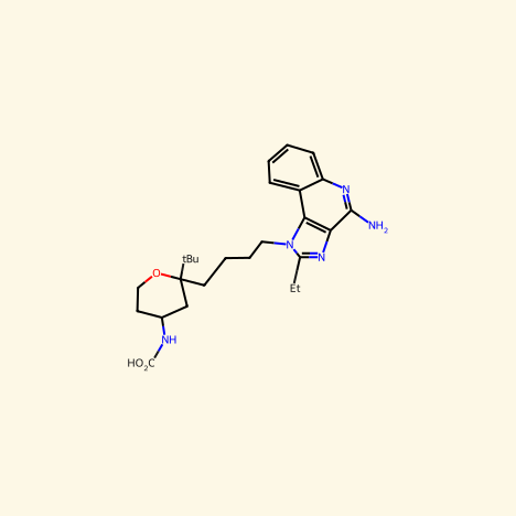 CCc1nc2c(N)nc3ccccc3c2n1CCCCC1(C(C)(C)C)CC(NC(=O)O)CCO1